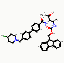 COC(=O)[C@@H](NC(=O)c1ccc(-c2ccc(CN3CCC(F)CC3)cc2)cc1)[C@@H](C)NC(=O)OCC1c2ccccc2-c2ccccc21